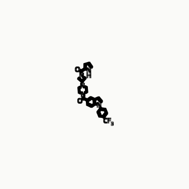 O=C(c1ccc2c(ccn2-c2ccc(C(F)(F)F)cc2)c1)N1CCN(C2CN(C(=O)c3ccc[nH]3)C2)CC1